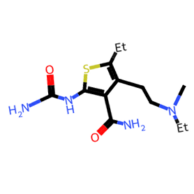 CCc1sc(NC(N)=O)c(C(N)=O)c1CCN(C)CC